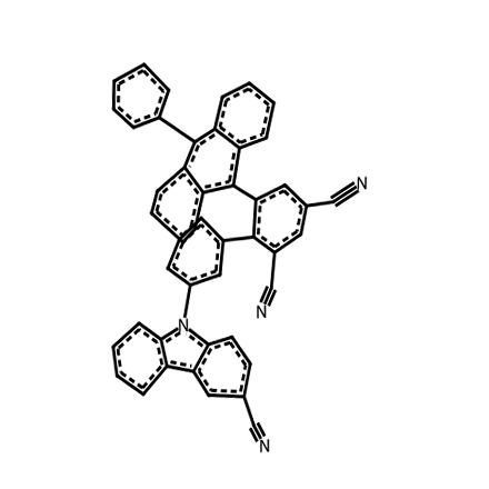 N#Cc1cc(C#N)c(-c2cccc(-n3c4ccccc4c4cc(C#N)ccc43)c2)c(-c2c3ccccc3c(-c3ccccc3)c3ccccc23)c1